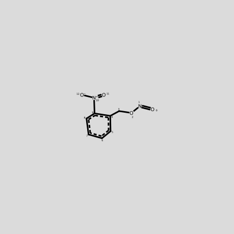 O=NOCc1ccccc1[N+](=O)[O-]